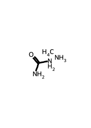 C.N.NC(N)=O